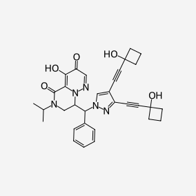 CC(C)N1CC(C(c2ccccc2)n2cc(C#CC3(O)CCC3)c(C#CC3(O)CCC3)n2)n2ncc(=O)c(O)c2C1=O